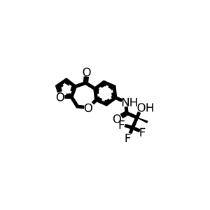 C[C@](O)(C(=O)Nc1ccc2c(c1)OCc1occc1C2=O)C(F)(F)F